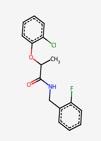 CC(Oc1ccccc1Cl)C(=O)NCc1ccccc1F